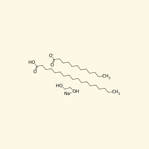 CCCCCCCCCCCC(=O)[O-].CCCCCCCCCCCCCCCCCC(=O)O.OCCO.[Na+]